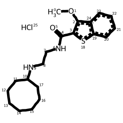 COc1c(C(=O)NCCNC2CCCCCCC2)sc2ccccc12.Cl